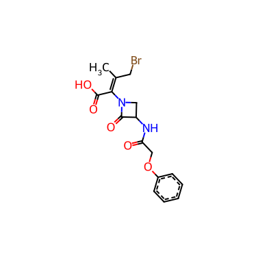 C/C(CBr)=C(\C(=O)O)N1CC(NC(=O)COc2ccccc2)C1=O